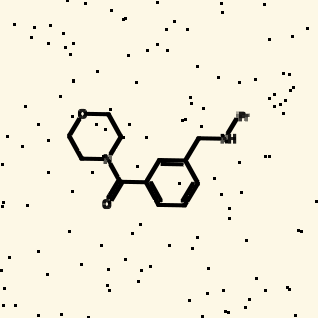 CC(C)NCc1cccc(C(=O)N2CCOCC2)c1